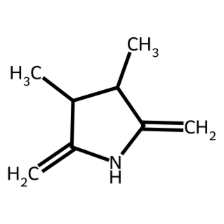 C=C1NC(=C)C(C)C1C